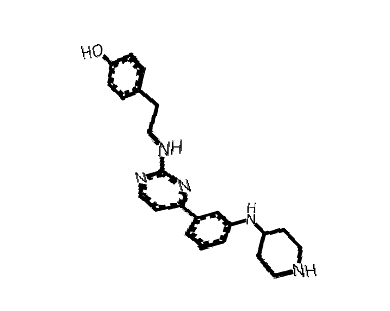 Oc1ccc(CCNc2nccc(-c3cccc(NC4CCNCC4)c3)n2)cc1